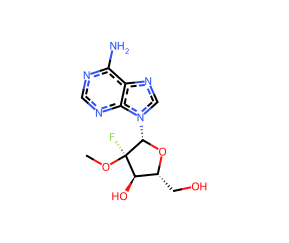 CO[C@]1(F)[C@H](O)[C@@H](CO)O[C@H]1n1cnc2c(N)ncnc21